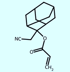 C=CC(=O)OC1(CC#N)C2CC3CC(C2)CC1C3